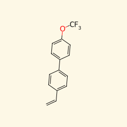 C=Cc1ccc(-c2ccc(OC(F)(F)F)cc2)cc1